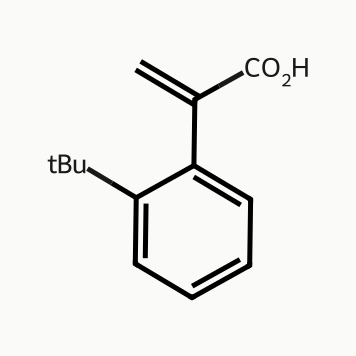 C=C(C(=O)O)c1ccccc1C(C)(C)C